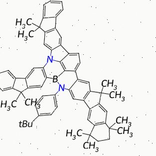 CC(C)(C)c1ccc(N2B3c4cc5c(cc4-n4c6cc7c(cc6c6ccc(c3c64)-c3cc4c(cc32)-c2cc3c(cc2C4(C)C)C(C)(C)CCC3(C)C)-c2ccccc2C7(C)C)-c2ccccc2C5(C)C)cc1